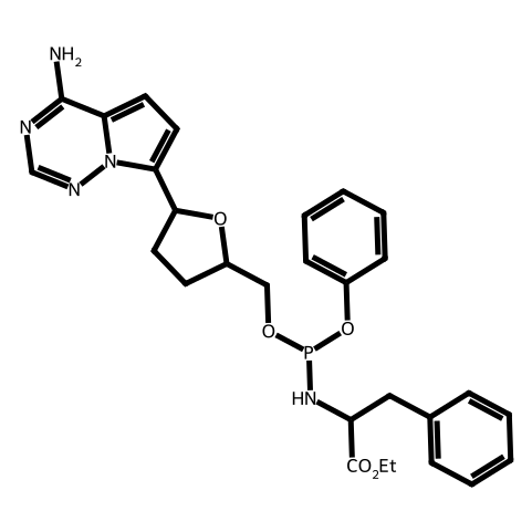 CCOC(=O)C(Cc1ccccc1)NP(OCC1CCC(c2ccc3c(N)ncnn23)O1)Oc1ccccc1